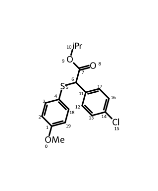 COc1ccc(SC(C(=O)OC(C)C)c2ccc(Cl)cc2)cc1